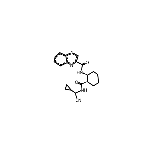 N#CC(NC(=O)[C@@H]1CCCC[C@@H]1NC(=O)c1cnc2ccccc2n1)C1CC1